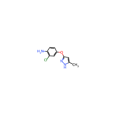 Cc1cc(Oc2ccc(N)c(Cl)c2)n[nH]1